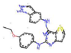 CCOc1ccc(Nc2nc(Nc3ccc4[nH]ncc4c3)c3sccc3n2)cc1